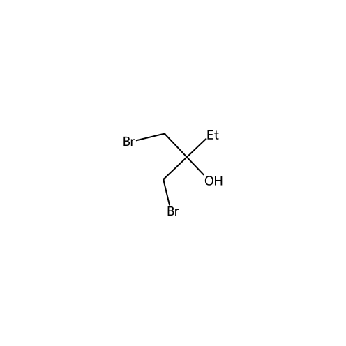 CCC(O)(CBr)CBr